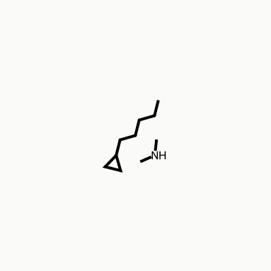 CCCCCC1CC1.CNC